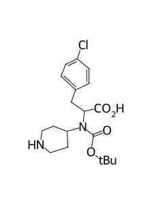 CC(C)(C)OC(=O)N(C1CCNCC1)C(Cc1ccc(Cl)cc1)C(=O)O